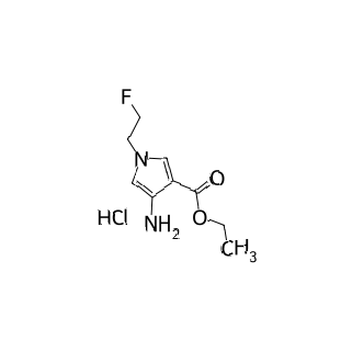 CCOC(=O)c1cn(CCF)cc1N.Cl